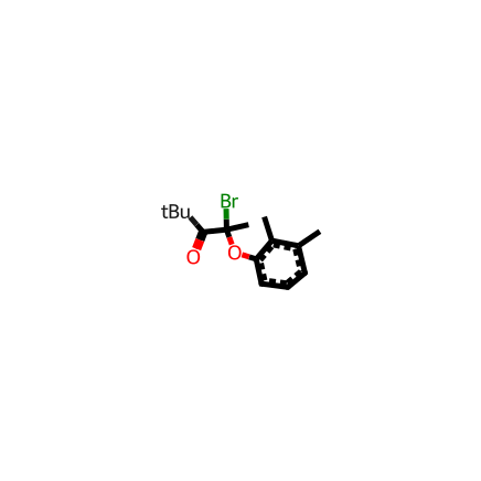 Cc1cccc(OC(C)(Br)C(=O)C(C)(C)C)c1C